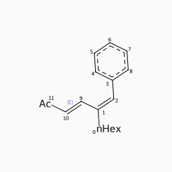 CCCCCCC(=Cc1ccccc1)/C=C/C(C)=O